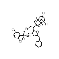 CC(C)C[C@@H](B1O[C@@H]2C[C@@H]3C[C@@H](C3(C)C)[C@]2(C)O1)N1OC(Cc2ccccc2)CC1CNS(=O)(=O)c1cc(Cl)ccc1Cl